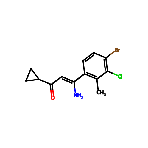 Cc1c(C(N)=CC(=O)C2CC2)ccc(Br)c1Cl